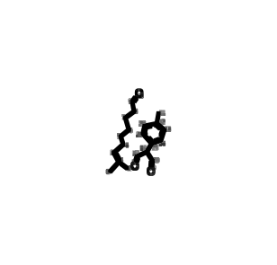 CC(C)=CCCCCCC=O.Cc1ccc(C(C=O)C=O)cc1